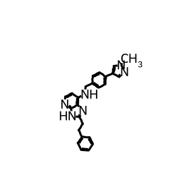 Cn1cc(-c2ccc(CNc3ccnc4[nH]c(CCc5ccccc5)nc34)cc2)cn1